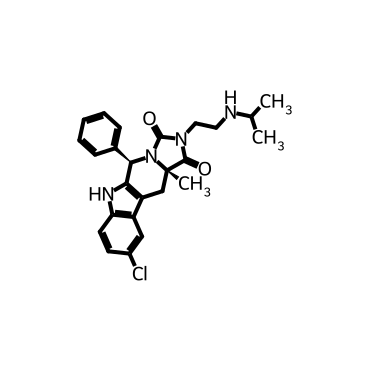 CC(C)NCCN1C(=O)N2[C@H](c3ccccc3)c3[nH]c4ccc(Cl)cc4c3C[C@@]2(C)C1=O